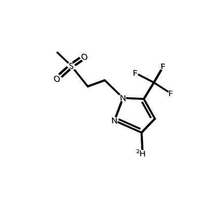 [2H]c1cc(C(F)(F)F)n(CCS(C)(=O)=O)n1